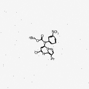 CC(C)c1cnn2c(N(C(=O)OC(C)(C)C)c3cccc([N+](=O)[O-])c3)cc(Cl)nc12